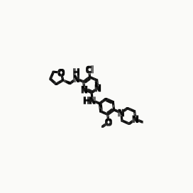 COc1cc(Nc2ncc(Cl)c(NC[C@H]3CCCO3)n2)ccc1N1CCN(C)CC1